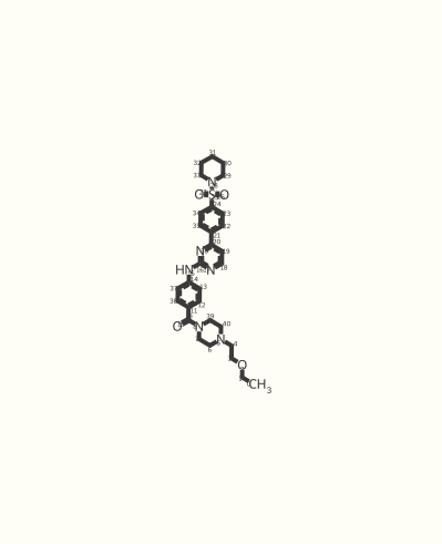 CCOCCN1CCN(C(=O)c2ccc(Nc3nccc(-c4ccc(S(=O)(=O)N5CCCCC5)cc4)n3)cc2)CC1